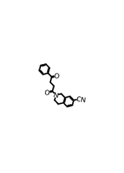 N#Cc1ccc2c(c1)CN(C(=O)CCC(=O)c1ccccc1)CC2